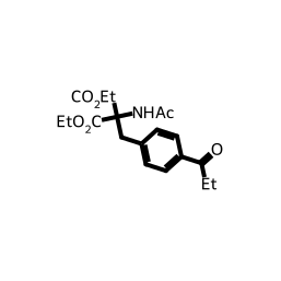 CCOC(=O)C(Cc1ccc(C(=O)CC)cc1)(NC(C)=O)C(=O)OCC